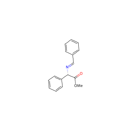 COC(=O)[C@@H](N=Cc1ccccc1)c1ccccc1